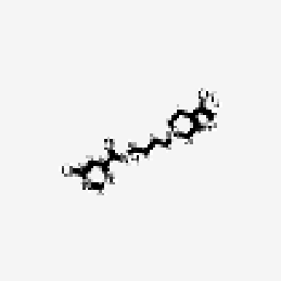 Cc1csc2c1CCN(CCCCNC(=O)c1cc(Cl)ncn1)C2